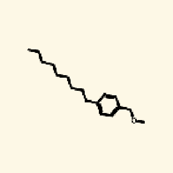 CCCCCCCCCc1ccc(COC)cc1